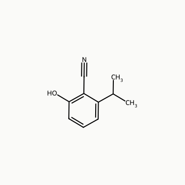 CC(C)c1cccc(O)c1C#N